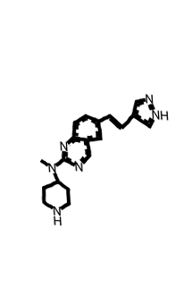 CN(c1ncc2cc(C=Cc3cn[nH]c3)ccc2n1)C1CCNCC1